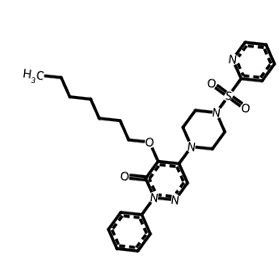 CCCCCCCOc1c(N2CCN(S(=O)(=O)c3ccccn3)CC2)cnn(-c2ccccc2)c1=O